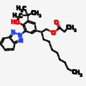 CCCCCCCCC(COC(=O)CC)c1cc(-n2nc3ccccc3n2)c(O)c(C(C)(C)C)c1